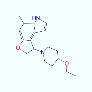 CCOC1CCN(C2COc3cc(C)c4[nH]ccc4c32)CC1